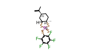 C=C(C)[C@H]1CC[C@@]2(C)S[P@@](=S)(Sc3c(F)c(F)c(F)c(F)c3F)S[C@H]2C1